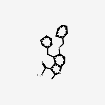 Cc1oc2ccc(OCc3ccccc3)c(Cc3ccccc3)c2c1C(N)=O